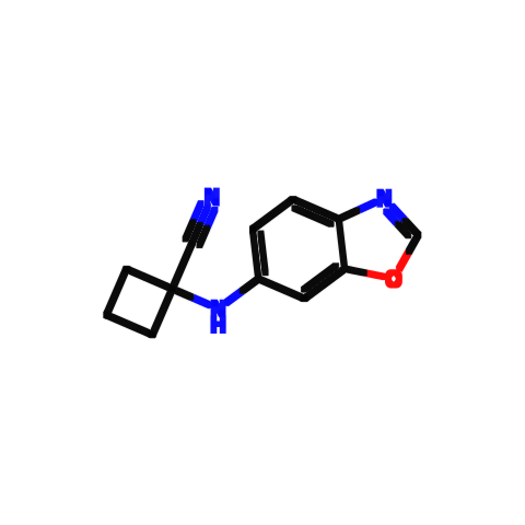 N#CC1(Nc2ccc3ncoc3c2)CCC1